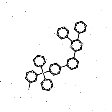 Clc1cccc([Si](c2ccccc2)(c2ccccc2)c2ccc(-c3cccc(-c4cnc(-c5ccccc5)c(-c5ccccc5)n4)c3)cc2)c1